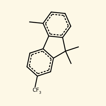 Cc1cccc2c1-c1ccc(C(F)(F)F)cc1C2(C)C